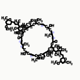 COC1C/C=C\C[C@@H](O)C/C=C(C)/C=C/C(=O)O[C@@](C)([C@H](C)C(O)C(C)[C@@H](O)C(C)CCC2CC(OC)C[C@H](C)O2)C[C@H](O)[C@H](C)[C@@H](OC)CC(OC)C/C=C\C[C@@H](O)C/C=C(C)/C=C/C(=O)O[C@@H]([C@H](C)C(O)C(C)[C@@H](O)C(C)CCC2C[C@H](OC)C[C@H](C)O2)C[C@H](O)[C@H](C)C(CO)C1